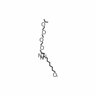 COCCCCCCCn1cc(COCCOCCOCCOC(C)C)nn1